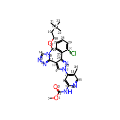 COC(=O)Nc1cc(-n2cc(-c3nncn3COCC[Si](C)(C)C)c(-c3ccccc3Cl)n2)c(C)cn1